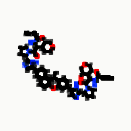 COC(=O)N[C@@H](C1CCOCC1)C(O)N1CCC[C@H]1c1ncc(-c2ccc3c(c2)Oc2ccc4cc(-c5cnc([C@@H]6CCCN6C(=O)[C@@H](NC(=O)OC)C6CCOCC6)[nH]5)ccc4c2C3C)[nH]1